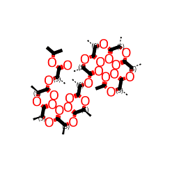 CC(=O)O[C@@H](C)C(=O)O[C@@H](C)C(=O)O[C@@H](C)C(=O)O[C@@H](C)C(=O)O[C@@H](C)C(=O)O[C@@H](C)C(=O)O[C@@H](C)C(=O)O[C@@H](C)C(=O)O[C@@H](C)C(=O)O[C@@H](C)C(=O)O[C@@H](C)C(=O)OC(C)C